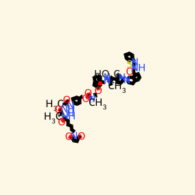 Cc1c(-c2ccc(N3CCc4cccc(C(=O)Nc5nc6ccccc6s5)c4C3)nc2C(=O)O)cnn1CC12CC3CC(C1)CC(OCCN(C)C(=O)OCc1ccc(NC(=O)[C@H](C)NC(=O)[C@H](C)NC(=O)CCCCCN4C(=O)C=CC4=O)cc1)(C3)C2